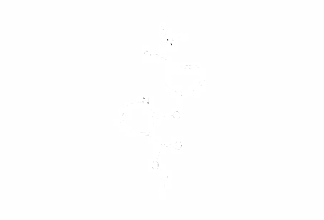 CCOC(=O)c1cccnc1Oc1cccc(C(=O)N(C)C)c1